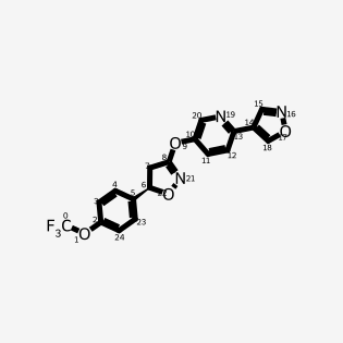 FC(F)(F)Oc1ccc([C@H]2CC(Oc3ccc(-c4cnoc4)nc3)=NO2)cc1